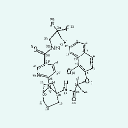 CC(C)(Oc1ccc2ccccc2c1Cl)C(=O)NC12CCCC(CC1)N2c1ccc(C(=O)NCC(F)(F)F)cn1